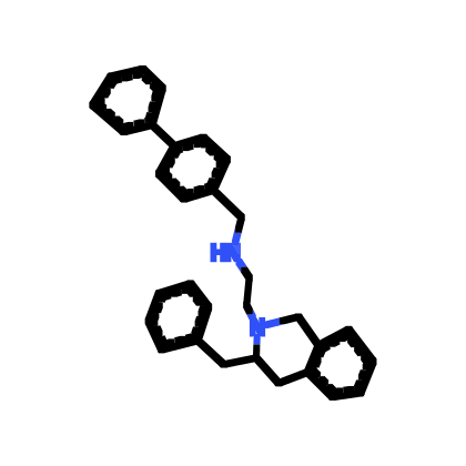 c1ccc(CC2Cc3ccccc3CN2CCNCc2ccc(-c3ccccc3)cc2)cc1